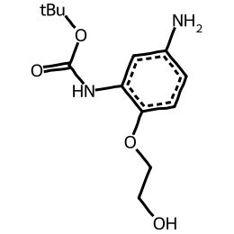 CC(C)(C)OC(=O)Nc1cc(N)ccc1OCCO